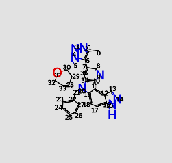 Cc1nnn(C)c1-c1cnc2c3c4cn[nH]c4ccc3n([C@H](c3ccccc3)C3CCOCC3)c2c1